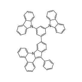 c1ccc(-c2c3ccc(-c4cc(-n5c6ccccc6c6ccccc65)cc(-n5c6ccccc6c6ccccc65)c4)cc3n3c4ccccc4c4ccccc4c23)cc1